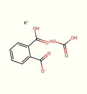 O=C(O)O.O=C([O-])c1ccccc1C(=O)O.[K+]